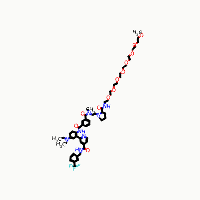 CCN(CC)c1ccc(NC(=O)c2cccc(C(=O)N(C)CCN3CCCCC3C(=O)NCCOCCOCCOCCOCCOCCOCCOCCOC)c2)c(-c2cc(C(=O)NCc3cccc(C(F)(F)F)c3)ccn2)c1